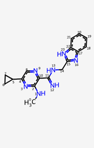 CNc1nc(C2CC2)cnc1C(=N)NCc1nc2ccccc2[nH]1